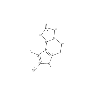 Cc1c(Br)sc2c1C1CNCC1CC2